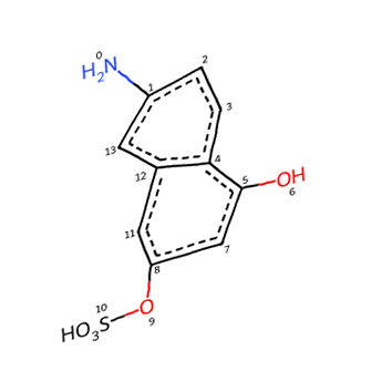 Nc1ccc2c(O)cc(OS(=O)(=O)O)cc2c1